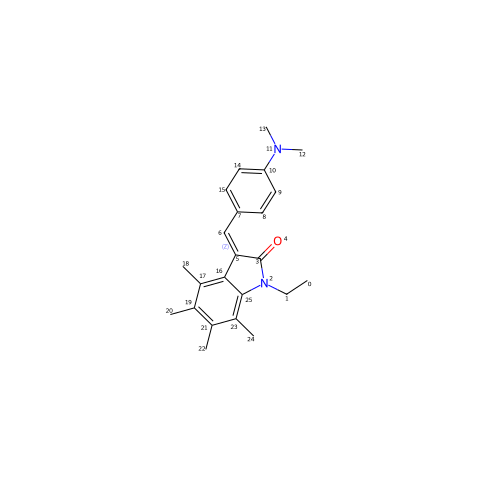 CCN1C(=O)/C(=C\c2ccc(N(C)C)cc2)c2c(C)c(C)c(C)c(C)c21